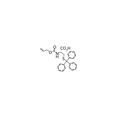 C=CCOC(=O)N[C@@H](CSC(c1ccccc1)(c1ccccc1)c1ccccc1)C(=O)O